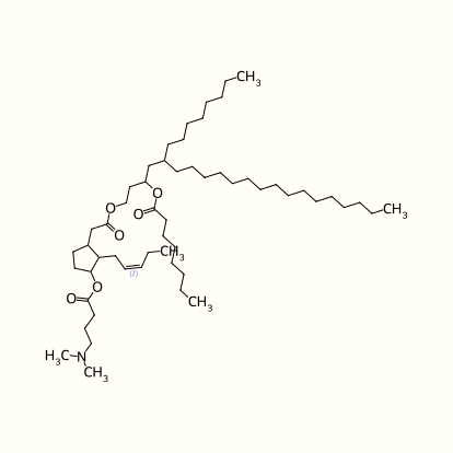 CC/C=C\CC1C(CC(=O)OCCC(CC(CCCCCCCC)CCCCCCCCCCCCCCCC)OC(=O)CCCCCCC)CCC1OC(=O)CCCN(C)C